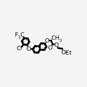 CCOCCOC(=O)[C@@H](C)Oc1ccc2ccc(Oc3ccc(C(F)(F)F)cc3Cl)cc2c1